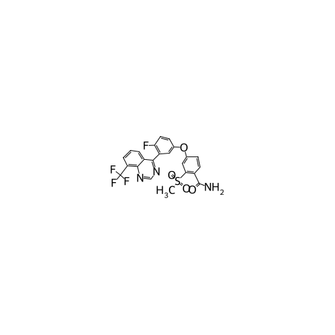 CS(=O)(=O)c1cc(Oc2ccc(F)c(-c3ncnc4c(C(F)(F)F)cccc34)c2)ccc1C(N)=O